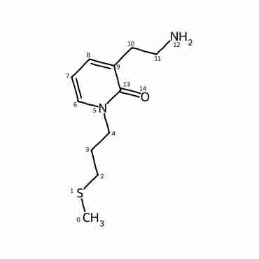 CSCCCn1cccc(CCN)c1=O